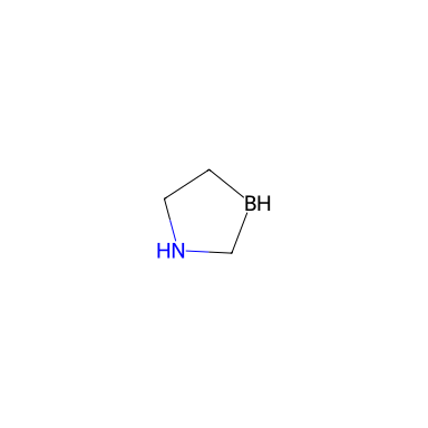 B1CCNC1